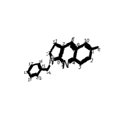 Cc1ccc2nc3c(cc2c1)CCN3Cc1ccccc1